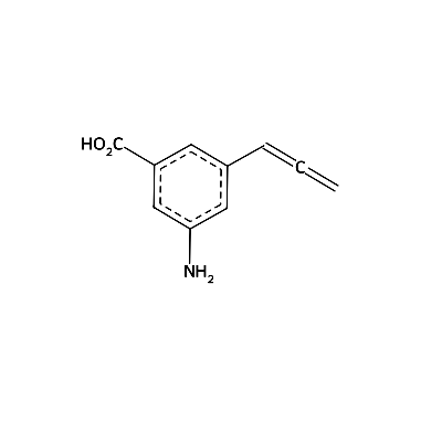 C=C=Cc1cc(N)cc(C(=O)O)c1